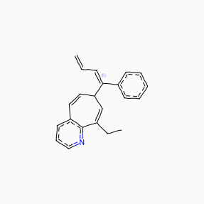 C=C/C=C(/c1ccccc1)C1C=Cc2cccnc2C(CC)=C1